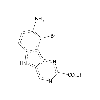 CCOC(=O)c1ncc2[nH]c3ccc(N)c(Br)c3c2n1